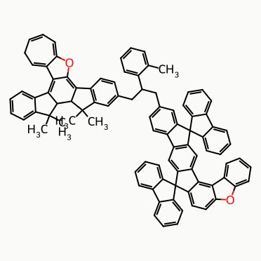 Cc1ccccc1C(Cc1ccc2c(c1)C1(c3ccccc3-c3ccccc31)c1cc3c(cc1-2)C1(c2ccccc2-c2ccccc21)c1ccc2oc4ccccc4c2c1-3)Cc1ccc2c(c1)C(C)(C)C1C2=c2oc3c(c2=C2c4ccccc4C(C)(C)C21)=CCC=CC=3